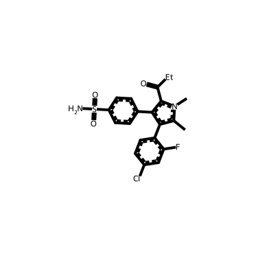 CCC(=O)c1c(-c2ccc(S(N)(=O)=O)cc2)c(-c2ccc(Cl)cc2F)c(C)n1C